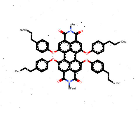 CCCCCCCCCCCCc1ccc(Oc2cc3c4c(cc(Oc5ccc(CCCCCCCCCCCC)cc5)c5c6c(Oc7ccc(CCCCCCCCCCCC)cc7)cc7c8c(cc(Oc9ccc(CCCCCCCCCCCC)cc9)c(c2c45)c86)C(=O)N(CCCCC)C7=O)C(=O)N(CCCCC)C3=O)cc1